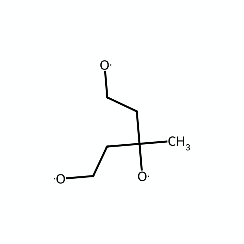 CC([O])(CC[O])CC[O]